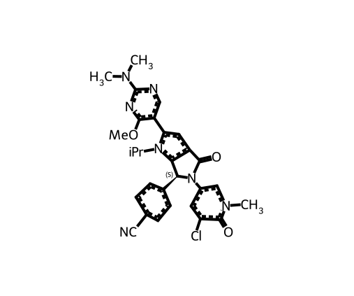 COc1nc(N(C)C)ncc1-c1cc2c(n1C(C)C)[C@H](c1ccc(C#N)cc1)N(c1cc(Cl)c(=O)n(C)c1)C2=O